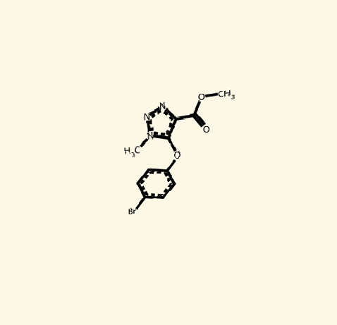 COC(=O)c1nnn(C)c1Oc1ccc(Br)cc1